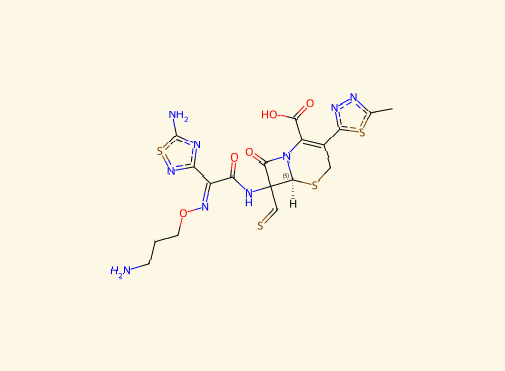 Cc1nnc(C2=C(C(=O)O)N3C(=O)C(C=S)(NC(=O)C(=NOCCCN)c4nsc(N)n4)[C@@H]3SC2)s1